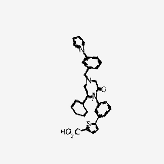 O=C(O)c1ccc(-c2cccc(N3C(=O)CN(Cc4cccc(-n5cccc5)c4)CC3C3CCCCC3)c2)s1